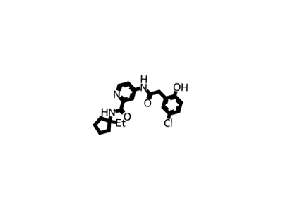 CCC1(NC(=O)c2cc(NC(=O)Cc3cc(Cl)ccc3O)ccn2)CCCC1